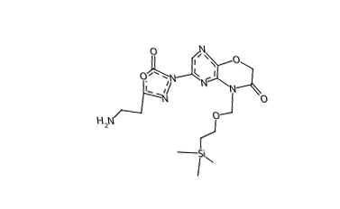 C[Si](C)(C)CCOCN1C(=O)COc2ncc(-n3nc(CCN)oc3=O)nc21